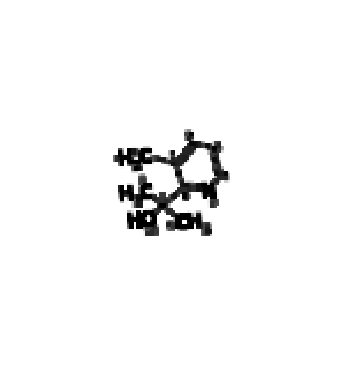 [CH2]c1cccnc1C(C)(C)O